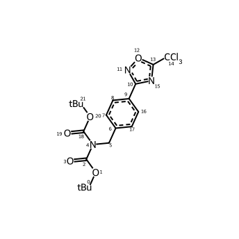 CC(C)(C)OC(=O)N(Cc1ccc(-c2noc(C(Cl)(Cl)Cl)n2)cc1)C(=O)OC(C)(C)C